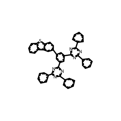 c1ccc(-c2nc(-c3ccccc3)nc(-c3cc(-c4ccc5sc6ccccc6c5c4)cc(-c4nc(-c5ccccc5)nc(-c5ccccc5)n4)c3)n2)cc1